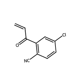 C=CC(=O)c1cc(Cl)ccc1C#N